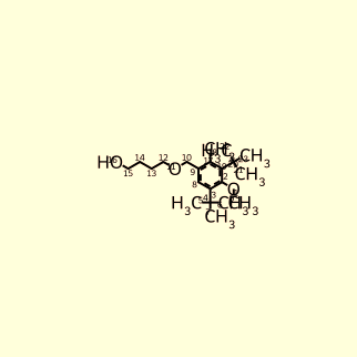 COc1c(C(C)(C)C)cc(COCCCCO)c(C)c1C(C)(C)C